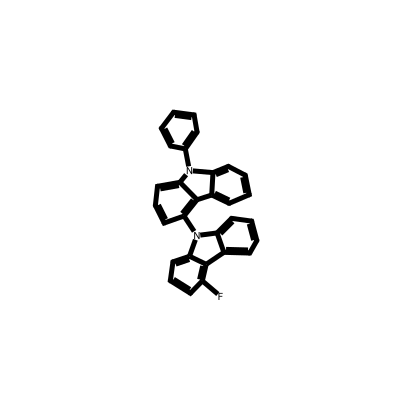 Fc1cccc2c1c1ccccc1n2-c1cccc2c1c1ccccc1n2-c1ccccc1